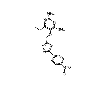 CCc1nc(N)nc(N)c1OCc1cc(-c2ccc([N+](=O)[O-])cc2)no1